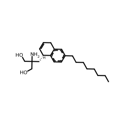 CCCCCCCCc1ccc2c(c1)CC=C[C@H]2CC(N)(CO)CO